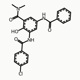 CN(C)C(=O)c1cc(NC(=O)c2ccccc2)cc(NC(=O)c2ccc(Cl)cc2)c1O